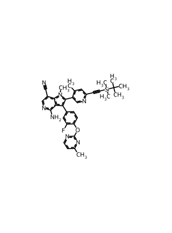 Cc1ccnc(Oc2ccc(-c3c(-c4cnc(C#C[Si](C)(C)C(C)(C)C)cc4C)n(C)c4c(C#N)cnc(N)c34)cc2F)n1